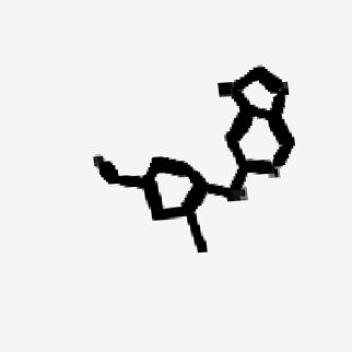 Cc1cc(C=O)ccc1Nc1cc2[nH]cnc2cn1